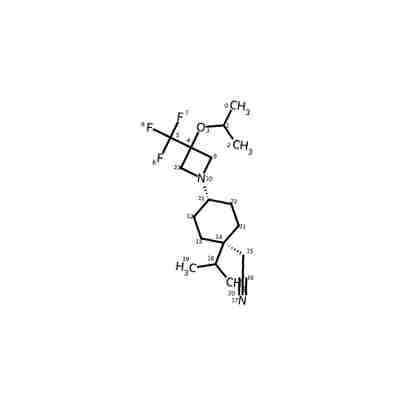 CC(C)OC1(C(F)(F)F)CN([C@H]2CC[C@](CC#N)(C(C)C)CC2)C1